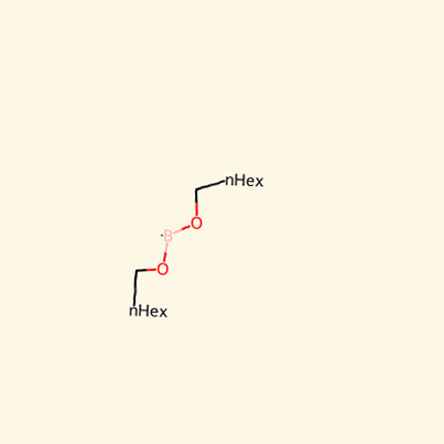 CCCCCCCO[B]OCCCCCCC